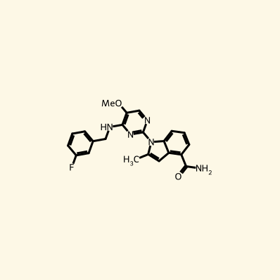 COc1cnc(-n2c(C)cc3c(C(N)=O)cccc32)nc1NCc1cccc(F)c1